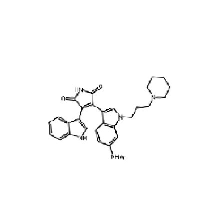 CC(=O)Nc1ccc2c(C3=C(c4c[nH]c5ccccc45)C(=O)NC3=O)cn(CCCN3CCCCC3)c2c1